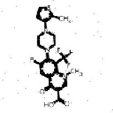 Cc1sccc1N1CCN(c2c(F)cc3c(=O)c(C(=O)O)cn(C)c3c2C(F)(F)F)CC1